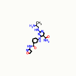 CC(N)CNc1ncc(C(N)=O)c(Nc2cccc(C(=O)Nc3ccon3)c2)n1